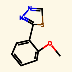 COc1ccccc1-c1nncs1